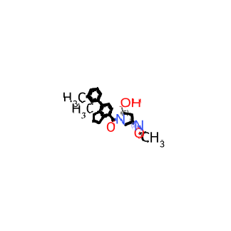 CO/N=C1/C[C@@H](CO)N(C(=O)c2ccc(-c3cccc(C)c3C)c3c2CCC3)C1